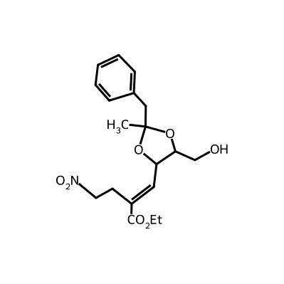 CCOC(=O)C(=CC1OC(C)(Cc2ccccc2)OC1CO)CC[N+](=O)[O-]